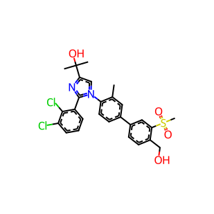 Cc1cc(-c2ccc(CO)c(S(C)(=O)=O)c2)ccc1-n1cc(C(C)(C)O)nc1-c1cccc(Cl)c1Cl